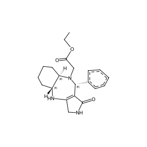 CCOC(=O)CN1[C@@H]2CCCC[C@H]2NC2=C(C(=O)NC2)[C@H]1c1ccccc1